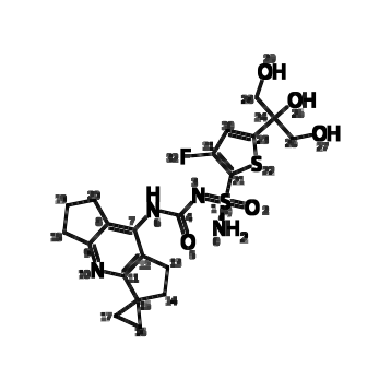 N[S@@](=O)(=NC(=O)Nc1c2c(nc3c1CCC31CC1)CCC2)c1sc(C(O)(CO)CO)cc1F